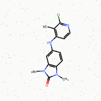 CCCCn1c(=O)n(C)c2ccc(Nc3ccnc(Cl)c3C#N)cc21